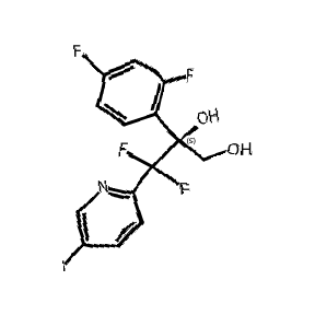 OC[C@@](O)(c1ccc(F)cc1F)C(F)(F)c1ccc(I)cn1